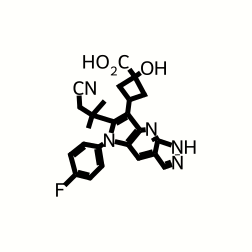 CC(C)(CC#N)c1c(C2CC(O)(C(=O)O)C2)c2nc3[nH]ncc3cc2n1-c1ccc(F)cc1